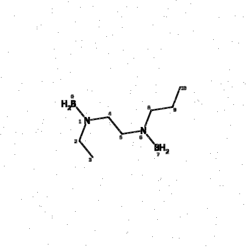 BN(CC)CCN(B)CCC